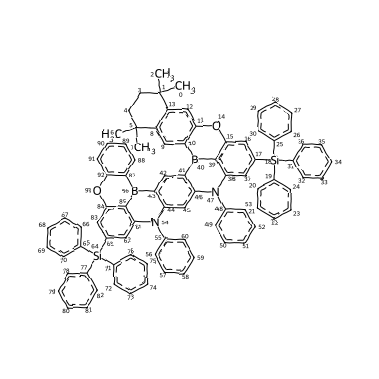 CC1(C)CCC(C)(C)c2cc3c(cc21)Oc1cc([Si](c2ccccc2)(c2ccccc2)c2ccccc2)cc2c1B3c1cc3c(cc1N2c1ccccc1)N(c1ccccc1)c1cc([Si](c2ccccc2)(c2ccccc2)c2ccccc2)cc2c1B3c1ccccc1O2